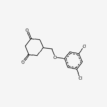 O=C1CC(=O)CC(COc2cc(Cl)cc(Cl)c2)C1